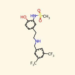 CS(=O)(=O)Nc1cc(CCNCc2cc(C(F)(F)F)cc(C(F)(F)F)c2)ccc1O